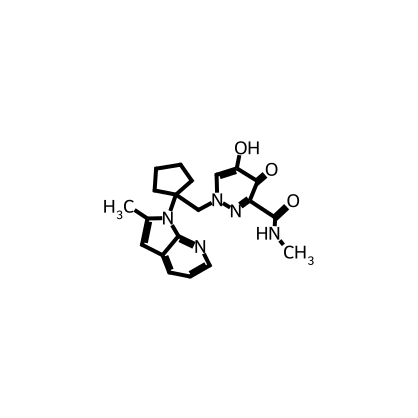 CNC(=O)c1nn(CC2(n3c(C)cc4cccnc43)CCCC2)cc(O)c1=O